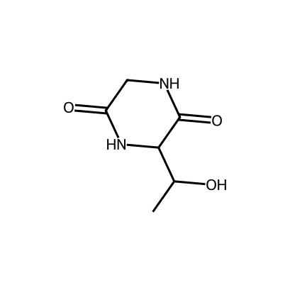 CC(O)C1NC(=O)CNC1=O